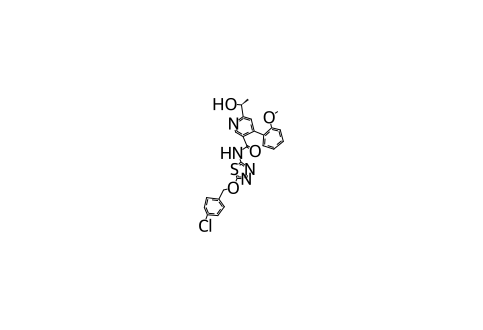 COc1ccccc1-c1cc([C@H](C)O)ncc1C(=O)Nc1nnc(OCc2ccc(Cl)cc2)s1